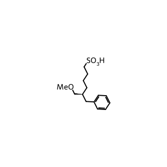 COC[C@@H](CCCCS(=O)(=O)O)Cc1ccccc1